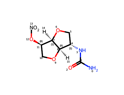 NC(=O)N[C@H]1CO[C@H]2[C@@H]1OC[C@H]2O[N+](=O)[O-]